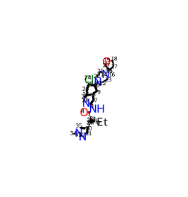 CC[C@H]1[C@@H](C(=O)Nc2cc3cc(N4CCN([C@]5(C)CCOC5)CC4)c(Cl)cc3cn2)[C@@H]1c1cnn(C)c1